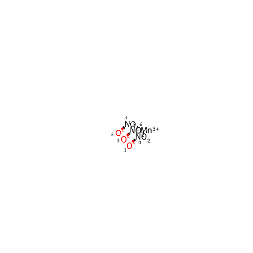 O=[N+]([O-])[O-].O=[N+]([O-])[O-].O=[N+]([O-])[O-].[Mn+3]